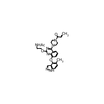 C=CC(=O)N1CCN(c2nc(OCCNC(C)=O)nc3c(Oc4c(C)ccc5[nH]ncc45)cccc23)CC1